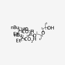 CC(O)COC(C)COC(C)CO.CCCCC(CC)C(=O)O.CCCCC(CC)C(=O)O